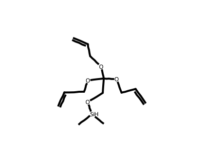 C=CCOC(CO[SiH](C)C)(OCC=C)OCC=C